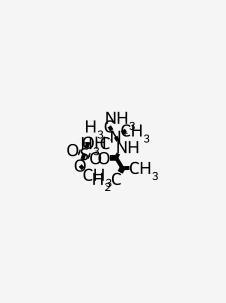 C=C(C)C(=O)N[N+](C)(C)C.COS(=O)(=O)O.N